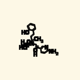 CC(C)(CCc1ccccc1O)NC[C@H](O)c1ccc(N)nc1.Cl.Cl